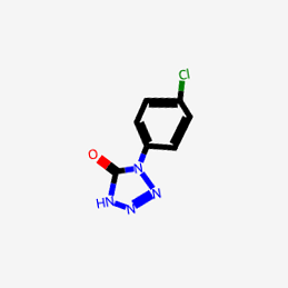 O=c1[nH]nnn1-c1ccc(Cl)cc1